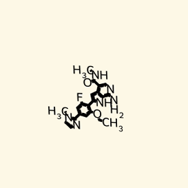 CCOc1cc(-c2nccn2C)cc(F)c1-c1cc2c(C(=O)NC)cnc(N)c2[nH]1